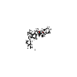 C[C@H]1CC[C@@H](Oc2ccc3cc(CCN4C5CCCC4CC(C(=O)O)C5)ccc3c2C(F)F)CC1